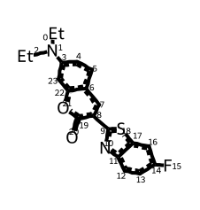 CCN(CC)c1ccc2cc(-c3nc4ccc(F)cc4s3)c(=O)oc2c1